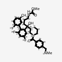 CNCc1ccc(C(=O)N2CCC[C@@H]([C@@](O)(CCCNC(=O)OC)c3cc(F)cc(F)c3-c3cc(C)ccc3F)C2)cc1